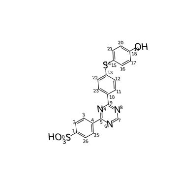 O=S(=O)(O)c1ccc(-c2ncnc(-c3ccc(Sc4ccc(O)cc4)cc3)n2)cc1